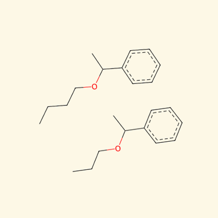 CCCCOC(C)c1ccccc1.CCCOC(C)c1ccccc1